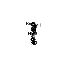 O=C(N/N=C/c1ccc([N+](=O)[O-])cc1)c1csc(-c2c[nH]c3ccc(Br)cc23)n1